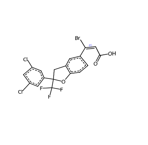 O=C(O)/C=C(/Br)c1ccc2c(c1)CC(c1cc(Cl)cc(Cl)c1)(C(F)(F)F)O2